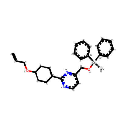 C=CCOC1CCC(c2nccc(CO[Si](c3ccccc3)(c3ccccc3)C(C)(C)C)n2)CC1